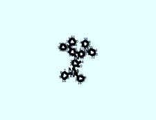 Cc1c(-c2nc(-c3ccccc3)nc(-c3ccccc3)n2)ccc(-n2c3ccc(N(c4ccccc4)c4ccccc4)cc3c3cc(N(c4ccccc4)c4ccccc4)ccc32)c1C